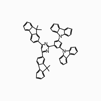 CC1(C)c2ccccc2-c2ccc(-c3cc(-c4ccc5c(c4)C(C)(C)c4ccccc4-5)nc(-c4cc(-n5c6ccccc6c6ccccc65)cc(-n5c6ccccc6c6ccccc65)c4)n3)cc21